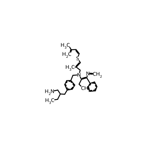 C=N/C(=C(/CC)N(C/C(C)=C/S/C=C\C(=C)C)Cc1ccc(CC(CC)CN)cc1)c1ccccc1